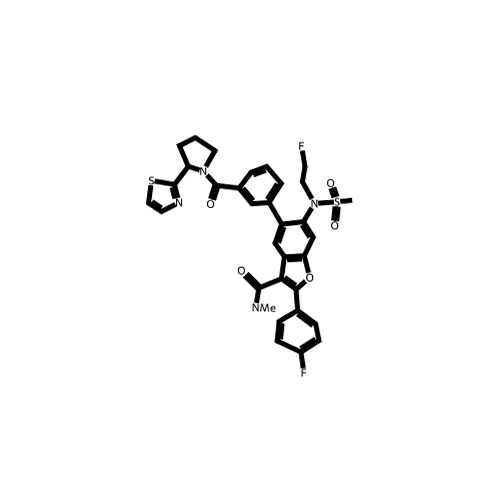 CNC(=O)c1c(-c2ccc(F)cc2)oc2cc(N(CCF)S(C)(=O)=O)c(-c3cccc(C(=O)N4CCCC4c4nccs4)c3)cc12